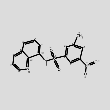 Cc1cc([N+](=O)[O-])cc(S(=O)(=O)Nc2cccc3cccnc23)c1